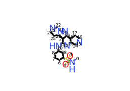 CNS(=O)(=O)c1cccc(Nc2nc3cnccc3c3nn4cnccc4c23)c1